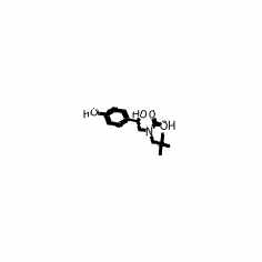 CC(C)(C)CN(CC(O)c1ccc(O)cc1)C(=O)O